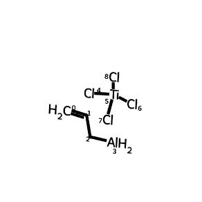 C=C[CH2][AlH2].[Cl][Ti]([Cl])([Cl])[Cl]